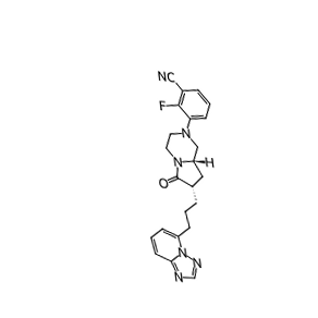 N#Cc1cccc(N2CCN3C(=O)[C@@H](CCCc4cccc5ncnn45)C[C@H]3C2)c1F